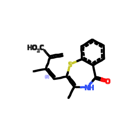 C=C(C(=O)O)/C(C)=C\C1=C(C)NC(=O)c2ccccc2S1